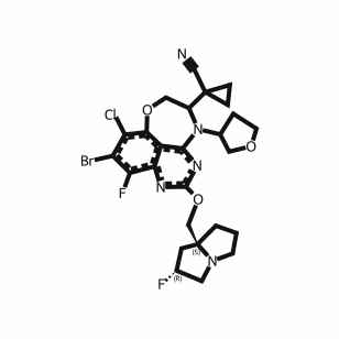 N#CC1(C2COc3c(Cl)c(Br)c(F)c4nc(OC[C@@]56CCCN5C[C@H](F)C6)nc(c34)N2C2CCOC2)CC1